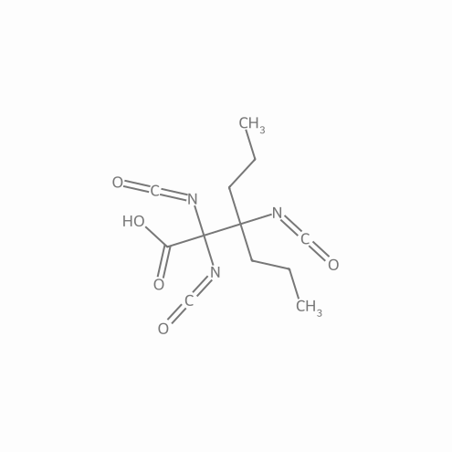 CCCC(CCC)(N=C=O)C(N=C=O)(N=C=O)C(=O)O